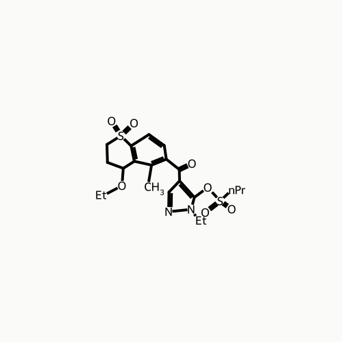 CCCS(=O)(=O)Oc1c(C(=O)c2ccc3c(c2C)C(OCC)CCS3(=O)=O)cnn1CC